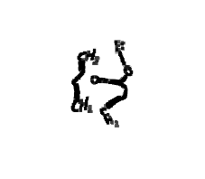 C=CC(=O)OCC.C=CC=C